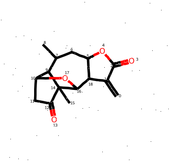 C=C1C(=O)OC2CC(C)C3C4CC(=O)C3(C)C(O4)C12